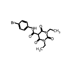 CCN1C(=O)C(C(=O)Nc2ccc(Br)cc2)C(=O)N(CC)C1=O